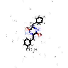 O=C(O)c1cccc(/C=c2\[nH]c(=O)/c(=C/c3ccccc3)[nH]c2=O)c1